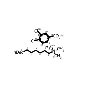 CCCCCCCCCCCCCCCC[N+](C)(C)C.O=C(O)c1ccc(Cl)c(Cl)c1